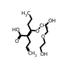 C=CCC(C(=O)O)=C(CCC)OC.OCCOCCO